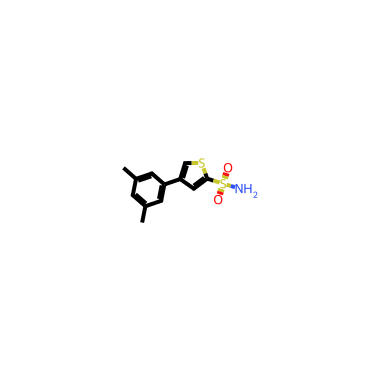 Cc1cc(C)cc(-c2csc(S(N)(=O)=O)c2)c1